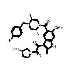 COc1cc2[nH]c(C)c(C(=O)C(=O)N3CC[C@@H](O)C3)c2cc1C(=O)N1C[C@H](C)N(Cc2ccc(F)cc2)C[C@H]1C